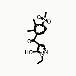 CCn1ncc(C(=O)c2ccc(S(C)(=O)=O)c(C)c2C)c1O